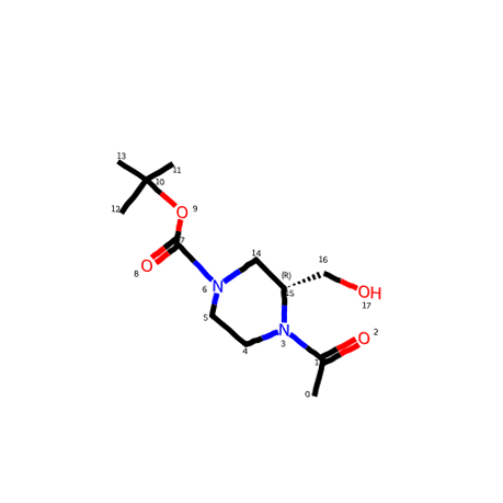 CC(=O)N1CCN(C(=O)OC(C)(C)C)C[C@@H]1CO